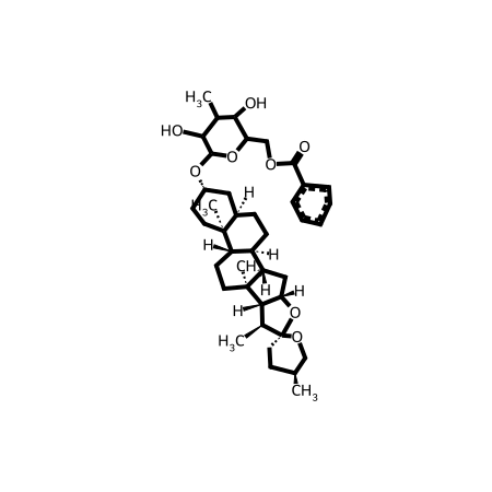 CC1C(O)C(COC(=O)c2ccccc2)OC(O[C@H]2CC[C@@]3(C)[C@H](CC[C@@H]4[C@@H]3CC[C@]3(C)[C@@H]5[C@H](C[C@@H]43)O[C@]3(CC[C@H](C)CO3)[C@H]5C)C2)C1O